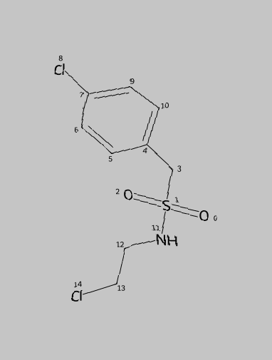 O=S(=O)(Cc1ccc(Cl)cc1)NCCCl